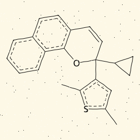 Cc1cc(C2(C3CC3)C=Cc3ccc4ccccc4c3O2)c(C)s1